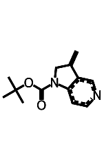 C=C1CN(C(=O)OC(C)(C)C)c2ccncc21